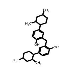 CC1CCC(c2ccc(O)c(Cc3cc(C4CCC(C)CC4C)ccc3O)c2)C(C)C1